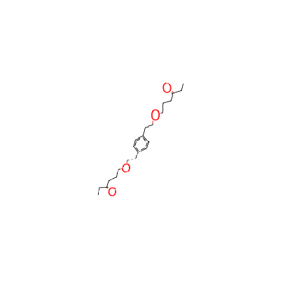 CCC(=O)CCCOCCc1ccc(CCOCCCC(=O)CC)cc1